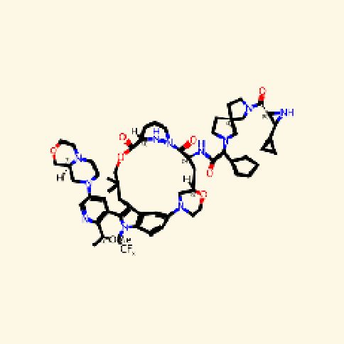 CO[C@@H](C)c1ncc(N2CCN3CCOC[C@@H]3C2)cc1-c1c2c3cc(ccc3n1CC(F)(F)F)N1CCO[C@@H](C[C@H](NC(=O)C(C3CCCC3)N3CC[C@]4(CCN(C(=O)[C@@H]5NC5C5CC5)C4)C3)C(=O)N3CCC[C@H](N3)C(=O)OCC(C)(C)C2)C1